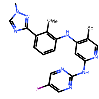 COc1c(Nc2cc(Nc3ncc(I)cn3)ncc2C(C)=O)cccc1-c1ncn(C)n1